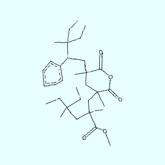 CCC(C)(CC)CC(C)(CC1(C)CC(C)(CC(c2ccccc2)C(C)(CC)CC)C(=O)OC1=O)C(=O)OC